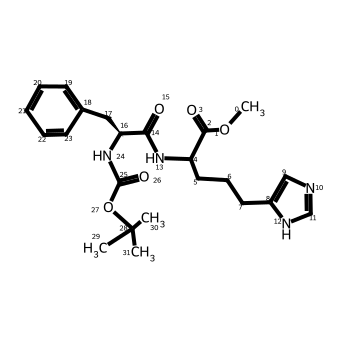 COC(=O)C(CCCc1cnc[nH]1)NC(=O)[C@H](Cc1ccccc1)NC(=O)OC(C)(C)C